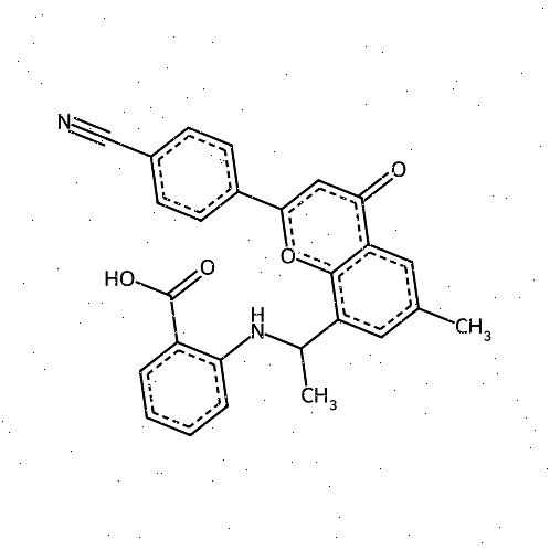 Cc1cc(C(C)Nc2ccccc2C(=O)O)c2oc(-c3ccc(C#N)cc3)cc(=O)c2c1